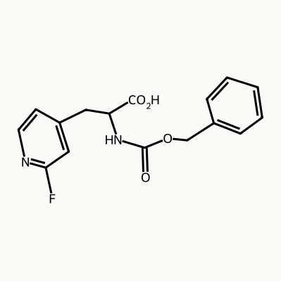 O=C(NC(Cc1ccnc(F)c1)C(=O)O)OCc1ccccc1